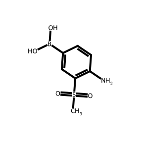 CS(=O)(=O)c1cc(B(O)O)ccc1N